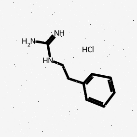 Cl.N=C(N)NCCc1ccccc1